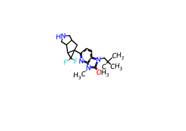 Cn1c(=O)n(CC(C)(C)C)c2ccc(C34CC5CNCC5C3C4(F)F)nc21